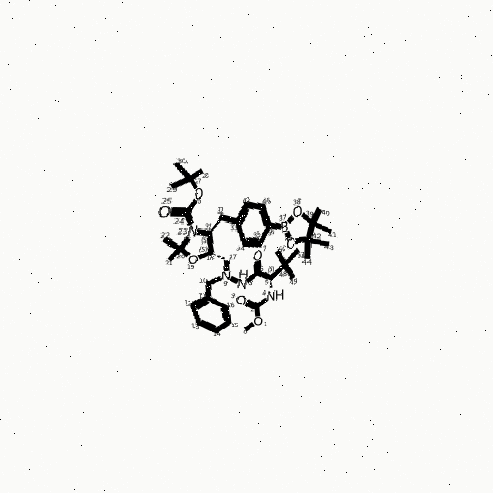 COC(=O)N[C@H](C(=O)NN(Cc1ccccc1)C[C@@H]1OC(C)(C)N(C(=O)OC(C)(C)C)[C@H]1Cc1ccc(B2OC(C)(C)C(C)(C)O2)cc1)C(C)(C)C